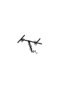 CCCCCCC(CCCCCC)C(=O)OCCCCCCN(CCCCCCOC(=O)C(CCCCCC)CCCCCC)CCOCCOCCOCCN